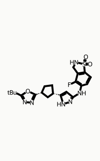 CC(C)(C)c1nnc([C@@H]2CC[C@H](c3cc(Nc4ccc5c(c4F)CNS5(=O)=O)n[nH]3)C2)o1